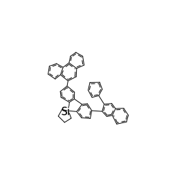 c1ccc(-c2cc3ccccc3cc2-c2ccc3c(c2)-c2cc(-c4cc5ccccc5c5ccccc45)ccc2[Si]32CCCC2)cc1